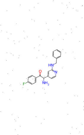 NC(C(=O)c1ccc(F)cc1)c1ccnc(NCc2ccccc2)c1